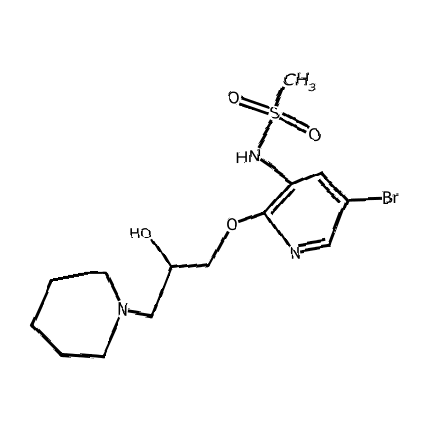 CS(=O)(=O)Nc1cc(Br)cnc1OCC(O)CN1CCCCC1